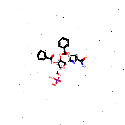 NC(=O)c1c[se]c([C@@H]2O[C@H](COP(=O)(O)O)[C@@H](OC(=O)c3ccccc3)[C@H]2OC(=O)c2ccccc2)n1